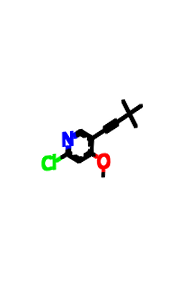 COc1cc(Cl)ncc1C#CC(C)(C)C